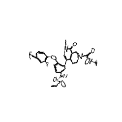 C=CS(=O)(=O)Nc1ccc(Oc2ccc(F)cc2F)c(-c2cn(C)c(=O)c3c2CCN(C(=O)O)C3)c1